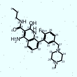 CCCNC(=O)C1=C(N)c2cccc(-c3cc(CN4CCN(C)CC4)ccc3F)c2NC1O